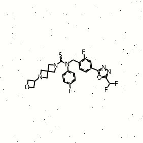 Fc1ccc(N(Cc2ccc(-c3nnc(C(F)F)o3)cc2F)C(=S)N2CC3(C2)CN(C2COC2)C3)cc1